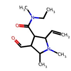 C=CC1C(C(=O)N(C)CC)C(C=O)C(C)N1C